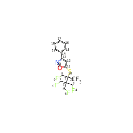 FCC(CF)(CF)C(CF)(Sc1cc(-c2ccccc2)no1)C(F)(F)F